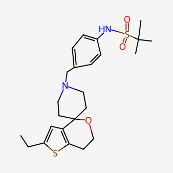 CCc1cc2c(s1)CCOC21CCN(Cc2ccc(NS(=O)(=O)C(C)(C)C)cc2)CC1